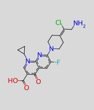 NCC(Cl)=C1CCN(c2nc3c(cc2F)c(=O)c(C(=O)O)cn3C2CC2)CC1